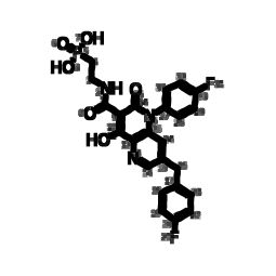 O=C(NCCP(=O)(O)O)c1c(O)c2ncc(Cc3ccc(F)cc3)cc2n(-c2ccc(F)cc2)c1=O